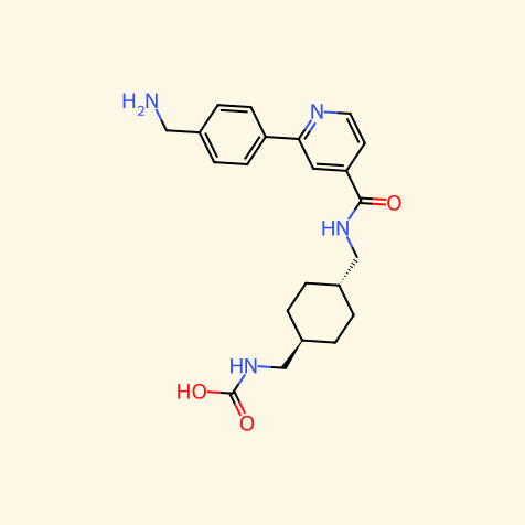 NCc1ccc(-c2cc(C(=O)NC[C@H]3CC[C@H](CNC(=O)O)CC3)ccn2)cc1